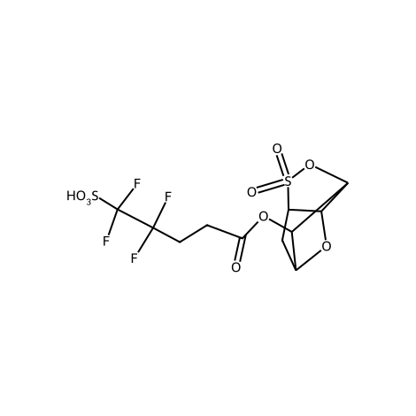 O=C(CCC(F)(F)C(F)(F)S(=O)(=O)O)OC1C2CC3C(O2)C1OS3(=O)=O